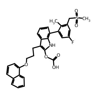 Cc1c(CS(C)(=O)=O)cc(F)cc1-c1cccc2c(CCCOc3cccc4ccccc34)c(OC(=O)O)[nH]c12